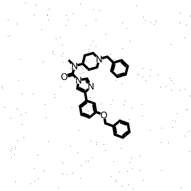 CN(C(=O)n1cnc(-c2cccc(OCc3ccccc3)c2)c1)C1CCN(Cc2ccccc2)CC1